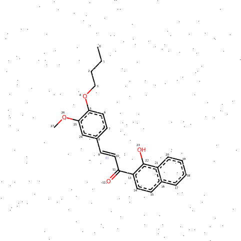 CCCCOc1ccc(/C=C/C(=O)c2ccc3ccccc3c2O)cc1OC